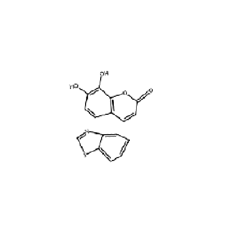 O=c1ccc2ccc(O)c(O)c2o1.c1ccc2scnc2c1